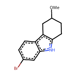 COC1CCc2[nH]c3cc(Br)ccc3c2C1